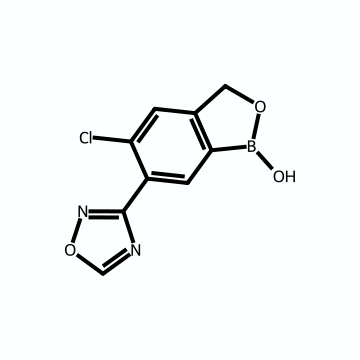 OB1OCc2cc(Cl)c(-c3ncon3)cc21